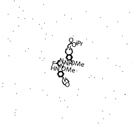 COc1cc2c(cc1Nc1ncc(F)c(Nc3ccc(N4CCOCC4)cc3OC)n1)CCN(CC(=O)OC(C)C)CC2